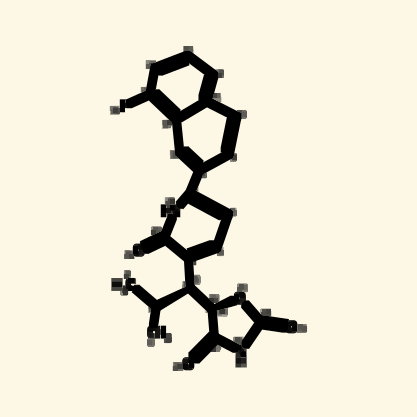 CC(C)[C@@H](c1ccc(-c2ccc3cccc(F)c3c2)[nH]c1=O)[C@H]1OC(=O)NC1=O